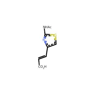 CC(=O)Nc1nc(C=CC(=O)O)cs1